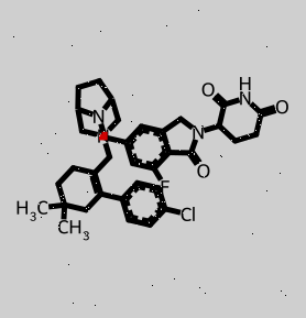 CC1(C)CCC(CN2CC3CCC(C2)N3Cc2cc(F)c3c(c2)CN(C2CCC(=O)NC2=O)C3=O)=C(c2ccc(Cl)cc2)C1